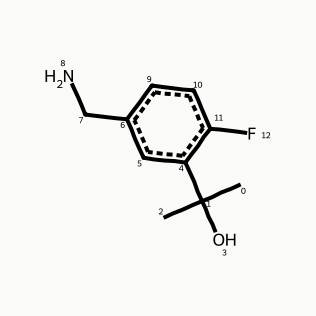 CC(C)(O)c1cc(CN)ccc1F